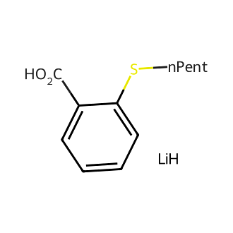 CCCCCSc1ccccc1C(=O)O.[LiH]